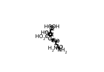 NC(=O)[C@H](N)CCC(=O)N1CC(Oc2ccc(CCB(O)O)c(O)c2C(=O)O)C1